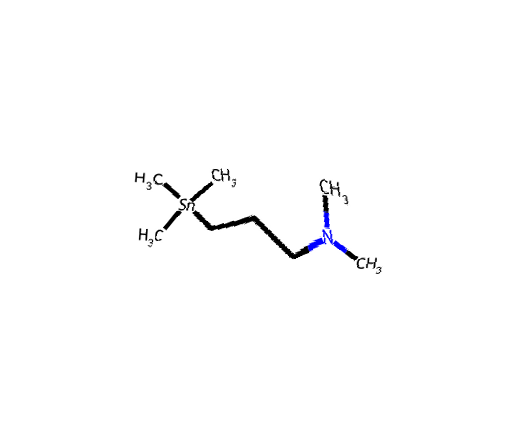 CN(C)CC[CH2][Sn]([CH3])([CH3])[CH3]